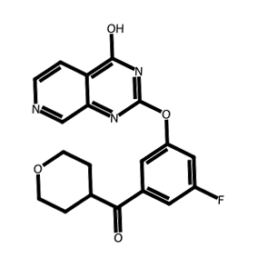 O=C(c1cc(F)cc(Oc2nc(O)c3ccncc3n2)c1)C1CCOCC1